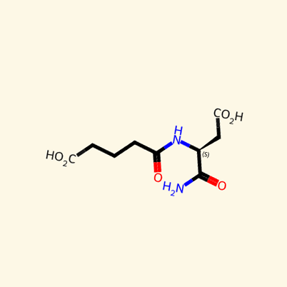 NC(=O)[C@H](CC(=O)O)NC(=O)CCCC(=O)O